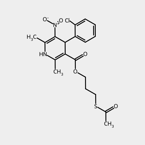 CC(=O)SCCCOC(=O)C1=C(C)NC(C)=C([N+](=O)[O-])C1c1ccccc1Cl